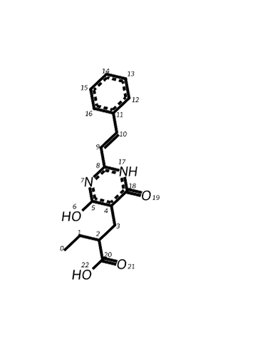 CCC(Cc1c(O)nc(C=Cc2ccccc2)[nH]c1=O)C(=O)O